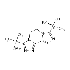 COC(c1nnc2n1CCn1c-2cnc1[C@@](C)(O)C(F)(F)F)(C(F)(F)F)C(F)(F)F